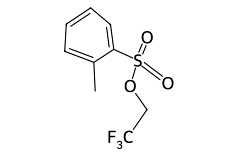 Cc1ccccc1S(=O)(=O)OCC(F)(F)F